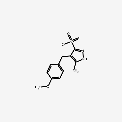 COc1ccc(Cc2c(S(=O)(=O)Cl)n[nH]c2C)cc1